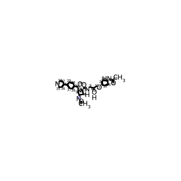 CO/N=C1\C[C@@H](C(=O)NC[C@H](O)COc2ccc(NC(C)=O)cc2)N(C(=O)c2ccc(-c3ccncc3)cc2)C1